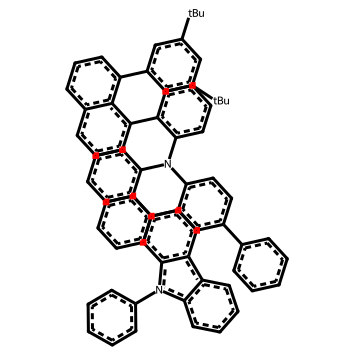 CC(C)(C)c1cc(-c2cccc3cccc(-c4ccccc4N(c4ccccc4-c4ccc5c6ccccc6n(-c6ccccc6)c5c4)c4ccc(-c5ccccc5)cc4-c4ccccc4)c23)cc(C(C)(C)C)c1